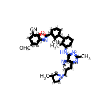 Cc1nc(Nc2cccc(-c3cccc(-c4nc5cc(C=O)cc(C#N)c5o4)c3C)c2C)c2ncc(CN3CCC(C)C3)cc2n1